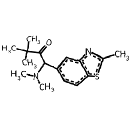 Cc1nc2cc(C(C(=O)C(C)(C)C)N(C)C)ccc2s1